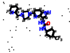 O=C(Nc1ccc(C(F)(F)F)cc1)Nc1c[nH]c2ccc(N3CCN(Cc4ccccn4)CC3)nc12